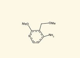 COCc1c(N)ccnc1OC